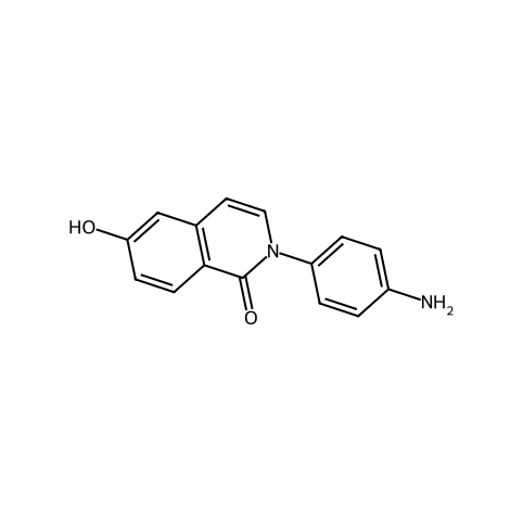 Nc1ccc(-n2ccc3cc(O)ccc3c2=O)cc1